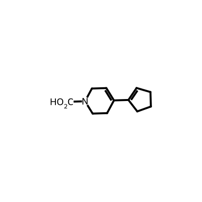 O=C(O)N1CC=C(C2=CCCC2)CC1